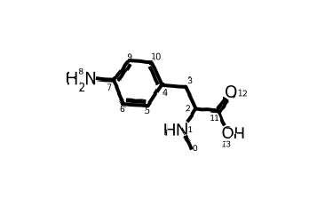 CNC(Cc1ccc(N)cc1)C(=O)O